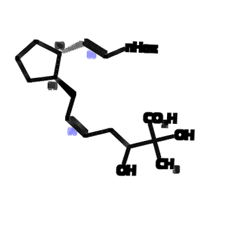 CCCCCC/C=C/[C@H]1CCC[C@@H]1C/C=C\CC(O)C(C)(O)C(=O)O